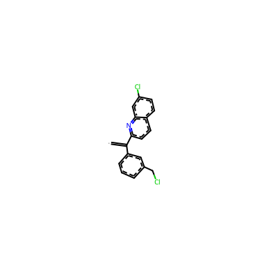 [CH]=C(c1cccc(CCl)c1)c1ccc2ccc(Cl)cc2n1